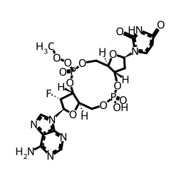 COOP1(=O)OC[C@H]2O[C@@H](n3ccc(=O)[nH]c3=O)C[C@@H]2OP(=O)(O)OC[C@H]2O[C@@H](n3cnc4c(N)ncnc43)[C@H](F)[C@@H]2O1